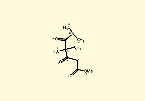 COC(=O)CC(=O)C(C)(C)C(=O)N(C)C